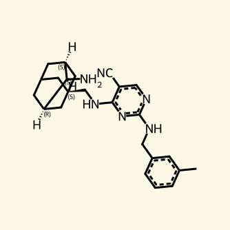 Cc1cccc(CNc2ncc(C#N)c(NC[C@]34CC5C[C@H](C3)[C@@H](N)[C@@H](C5)C4)n2)c1